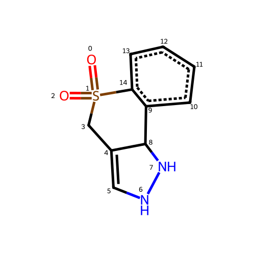 O=S1(=O)CC2=CNNC2c2ccccc21